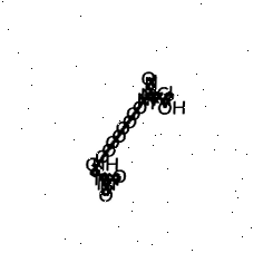 C=CC(=O)N1CCN(c2nc(N(C)CCOCCOCCOCCOCCOCCOCCOCCOCCNC(=O)c3cccc(-c4ccc5c(N6CCOC[C@H]6C)nc(N6CCOC[C@H]6C)nc5n4)c3)nc3c(F)c(-c4cc(O)cc5ccccc45)c(Cl)cc23)CC1